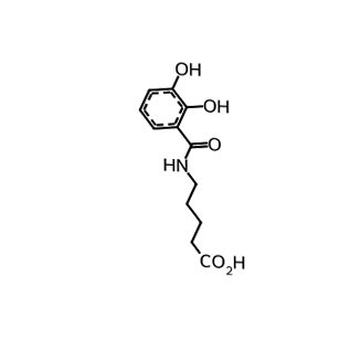 O=C(O)CCCCNC(=O)c1cccc(O)c1O